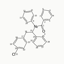 O=C(c1ccccc1)N(c1ccccc1)C(Cc1ccc(Cl)cc1)c1ccccc1